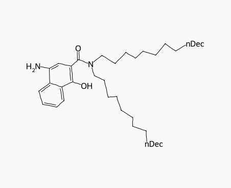 CCCCCCCCCCCCCCCCCCN(CCCCCCCCCCCCCCCCCC)C(=O)c1cc(N)c2ccccc2c1O